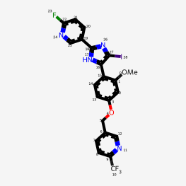 COc1cc(OCc2ccc(C(F)(F)F)nc2)ccc1-c1[nH]c(-c2ccc(F)nc2)nc1I